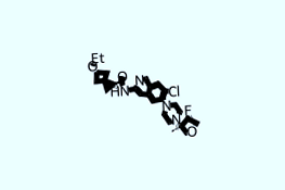 CCOC1CC2(C1)C[C@@H]2C(=O)Nc1cc2cc(N3CCN([C@]4(C)COC[C@@H]4F)CC3)c(Cl)cc2cn1